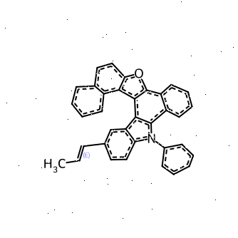 C/C=C/c1ccc2c(c1)c1c3c(oc4ccc5ccccc5c43)c3ccccc3c1n2-c1ccccc1